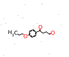 CCCOc1ccc(C(=O)CCC=O)cc1